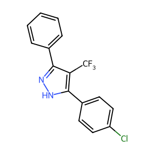 FC(F)(F)c1c(-c2ccccc2)n[nH]c1-c1ccc(Cl)cc1